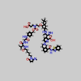 C/N=C1\C=CC(=O)N1CCCCCC(=O)NC(C(=O)NCC(=O)Nc1ccc(COC(=O)N(CCOC2CC(C)(CN/C(C)=C(\C=N)c3ccc(N4CCc5cccc(C(=O)Nc6nc7ccccc7s6)c5C4)nc3C(=O)O)CC2(C)CC(C)(C)C)CCC(=O)O)cc1)C(C)C